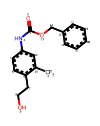 O=C(Nc1ccc(CCO)c(C(F)(F)F)c1)OCc1ccccc1